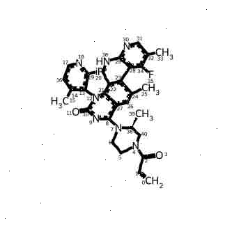 C=CC(=O)N1CCN(c2nc(=O)n(-c3c(C)ccnc3C(C)C)c3c4c(c(C)cc23)-c2c(ncc(C)c2F)NC4)[C@@H](C)C1